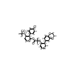 CC(C)(Sc1ccnc(OC(=O)C(C)(C)Sc2ccncc2-c2ccc3c(c2)OCCO3)c1-c1ccc(Cl)cc1)C(=O)O